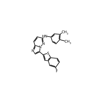 Cc1ccc(Nc2ccc3ncc(-c4cc5cc(F)ccc5s4)n3n2)cc1C